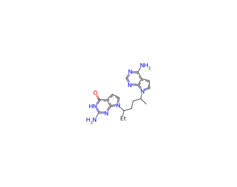 CCC(CCC(C)n1ccc2c(N)ncnc21)n1ccc2c(=O)[nH]c(N)nc21